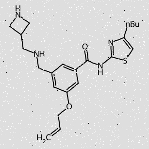 C=CCOc1cc(CNCC2CNC2)cc(C(=O)Nc2nc(CCCC)cs2)c1